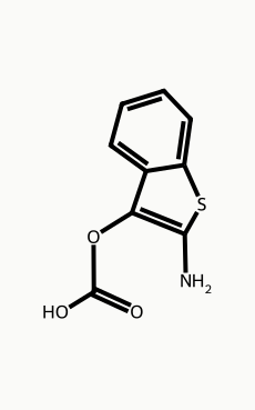 Nc1sc2ccccc2c1OC(=O)O